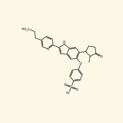 CCS(=O)(=O)c1ccc(Oc2cc3cc(-c4ccc(CCC(=O)O)cn4)[nH]c3cc2C2CCC(=O)N2C)cc1